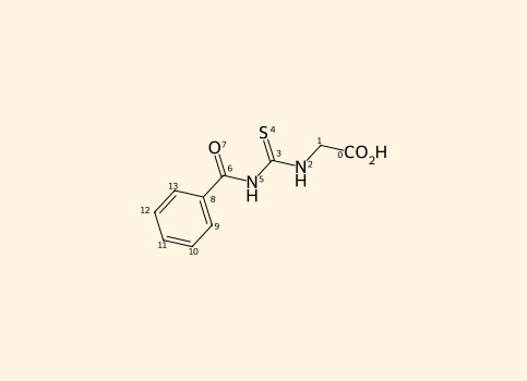 O=C(O)CNC(=S)NC(=O)c1ccccc1